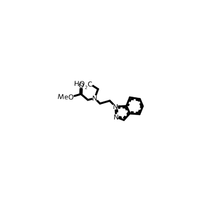 COC(=O)CN(CCn1ncc2ccccc21)CC(=O)O